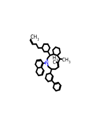 C/C=C\CCC1CCCC(C2CN(C3=C4C=CCCC4CC=C3)CC(C3C=C(C4=CC=CCC4)CCC3)C/C=C(\C)C(C)C3CCCCC23)C1